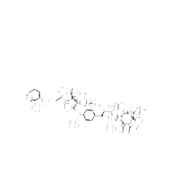 CC(=Cc1ccc(O[C@@H]2O[C@H](C(C)=CCOc3cccnc3Cl)[C@@H](O)[C@@H]2O)c(O)c1)C(=O)N[C@@H]1[C@H](O)[C@@H](O)[C@H]2OCO[C@H]2[C@@H]1O